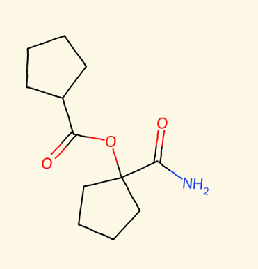 NC(=O)C1(OC(=O)C2CCCC2)CCCC1